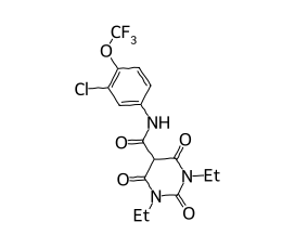 CCN1C(=O)C(C(=O)Nc2ccc(OC(F)(F)F)c(Cl)c2)C(=O)N(CC)C1=O